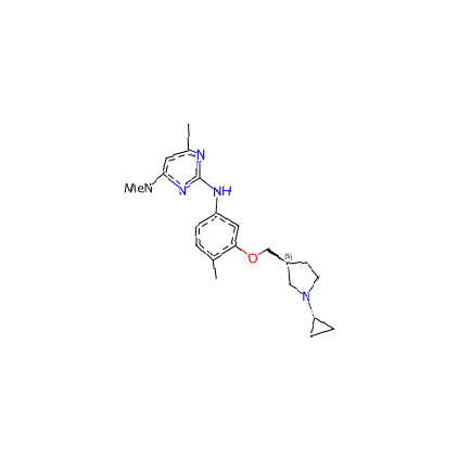 CNc1cc(C)nc(Nc2ccc(C)c(OC[C@H]3CCN(C4CC4)C3)c2)n1